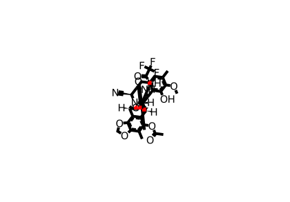 COc1c(C)cc2c(c1O)C1NC(C2)[C@H](C#N)N2[C@H]1[C@@H]1SCC(NC(=O)C(F)(F)F)C(=O)OC[C@H]2c2c3c(c(C)c(OC(C)=O)c21)OCO3